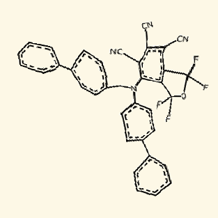 N#Cc1c(C#N)c(N(c2ccc(-c3ccccc3)cc2)c2ccc(-c3ccccc3)cc2)c2c(c1C#N)C(F)(F)OC2(F)F